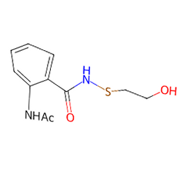 CC(=O)Nc1ccccc1C(=O)NSCCO